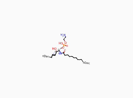 CCCCCCCCCCC/C=C/[C@@H](O)[C@H](COP(=O)(O)OCCN)NC(=O)CCCCCCCCCCCCCCCCCC